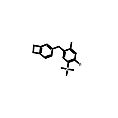 Cc1cc(Br)c([Si](C)(C)C)cc1Cc1ccc2c(c1)CC2